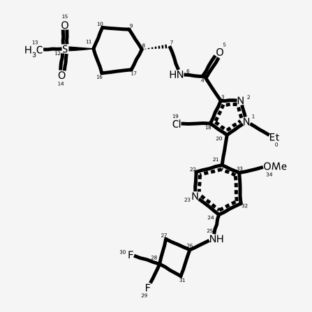 CCn1nc(C(=O)NC[C@H]2CC[C@H](S(C)(=O)=O)CC2)c(Cl)c1-c1cnc(NC2CC(F)(F)C2)cc1OC